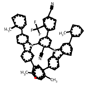 Cc1ccccc1-c1ccc2c3ccc(-c4ccccc4C)cc3n(-c3cc(-c4ccc(C#N)cc4C(F)(F)F)cc(-n4c5cc(-c6ccccc6C)ccc5c5ccc(-c6ccccc6C)cc54)c3C#N)c2c1